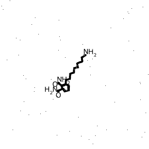 NCCCCCCCCCCc1cccc(C(N)=O)c1C(N)=O